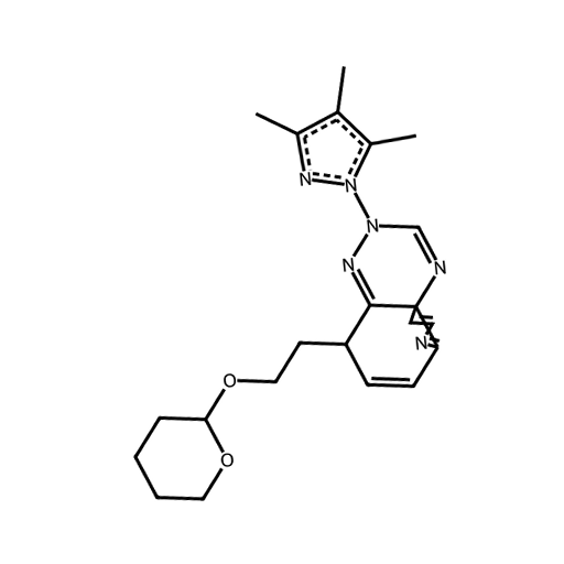 Cc1nn(N2C=NC34C=CN=C3C=CC(CCOC3CCCCO3)C4=N2)c(C)c1C